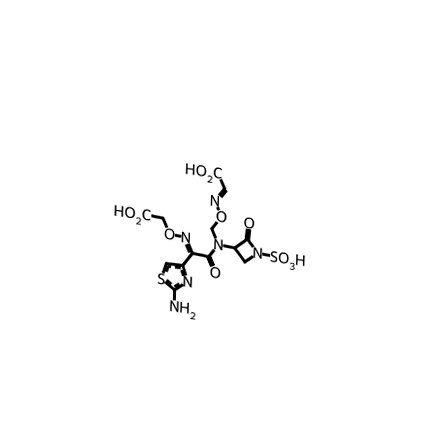 Nc1nc(/C(=N\OCC(=O)O)C(=O)N(CO/N=C/C(=O)O)C2CN(S(=O)(=O)O)C2=O)cs1